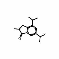 CC1Cc2c(cc(C(C)C)cc2C(C)C)C1=O